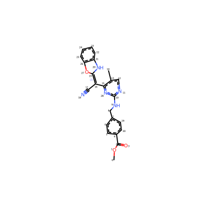 COC(=O)c1ccc(CNc2ncc(C)c(/C(C#N)=C3\Nc4ccccc4O3)n2)cc1